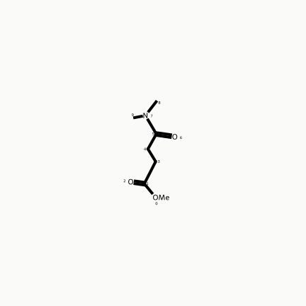 COC(=O)CCC(=O)N(C)C